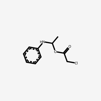 CC(Nc1ccccc1)OC(=O)CCl